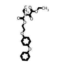 CCOC(=O)C(=O)N(CC)C(=O)OCCOc1ccc(Oc2ccccc2)cc1